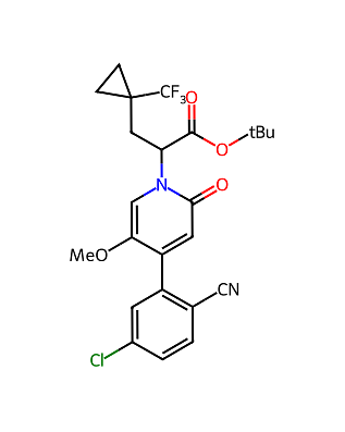 COc1cn(C(CC2(C(F)(F)F)CC2)C(=O)OC(C)(C)C)c(=O)cc1-c1cc(Cl)ccc1C#N